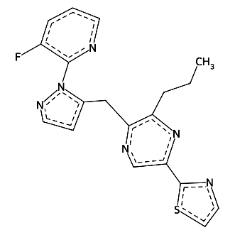 CCCc1nc(-c2nccs2)cnc1Cc1ccnn1-c1ncccc1F